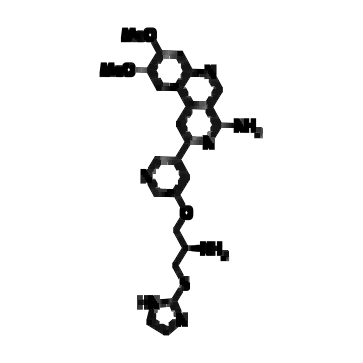 COc1cc2ncc3c(N)nc(-c4cncc(OC[C@@H](N)CSc5ncc[nH]5)c4)cc3c2cc1OC